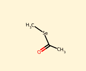 C[Se]C(C)=O